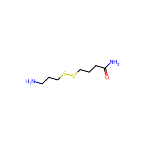 NCCCSSCCCC(N)=O